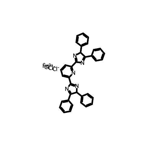 [Cl-].[Cl-].[Cl-].[Fe+3].c1ccc(C2=NC(c3cccc(C4=NC(c5ccccc5)C(c5ccccc5)=N4)n3)=NC2c2ccccc2)cc1